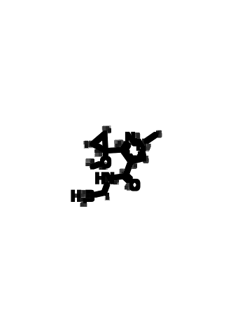 BCNC(=O)c1cn(C)nc1C1(OC)CC1